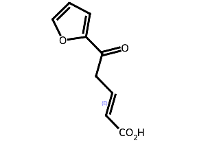 O=C(O)/C=C/CC(=O)c1ccco1